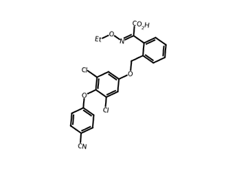 CCON=C(C(=O)O)c1ccccc1COc1cc(Cl)c(Oc2ccc(C#N)cc2)c(Cl)c1